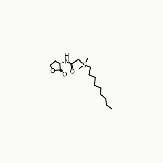 CCCCCCCCCS(C)(C)CC(=O)N[C@H]1CCOC1=O